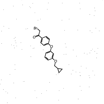 O=C(CBr)c1ccc(Oc2cccc(OCC3CC3)c2)cc1